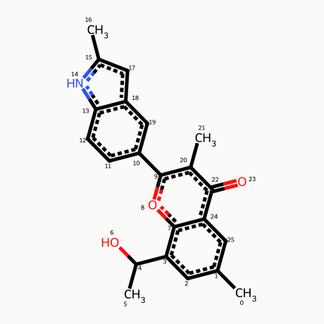 Cc1cc(C(C)O)c2oc(-c3ccc4[nH]c(C)cc4c3)c(C)c(=O)c2c1